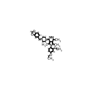 CCOc1ccc(-n2c(C)c3c(C)nnc(N4CCN(Cc5ccc6c(c5)OCO6)CC4)c3c2C)c(OC)c1